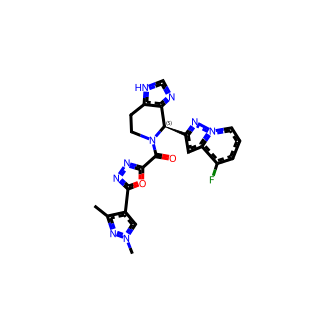 Cc1nn(C)cc1-c1nnc(C(=O)N2CCc3[nH]cnc3[C@H]2c2cc3c(F)cccn3n2)o1